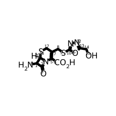 NC1C(=O)N2C(C(=O)O)=C(CSc3nnc(CO)o3)CS[C@H]12